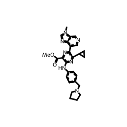 COC(=O)c1nc(-c2cncc3c2ncn3C)c(C2CC2)nc1Nc1ccc(CN2CCCC2)cc1